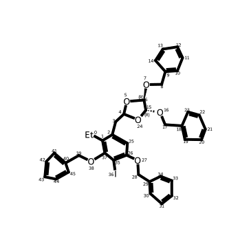 CCc1c(CC2O[C@@H](OCc3ccccc3)[C@H](OCc3ccccc3)O2)cc(OCc2ccccc2)c(I)c1OCc1ccccc1